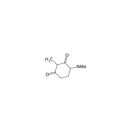 CNC1CCC(=O)C(C)C1=O